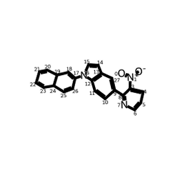 O=[N+]([O-])c1cccnc1-c1ccc2c(ccn2C2=CC3C=CC=CC3C=C2)c1